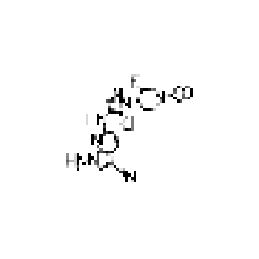 CNn1cc(C#N)c2ccc(Nc3cnn([C@H]4CCN(C5COC5)C[C@@H]4F)c3Cl)nc21